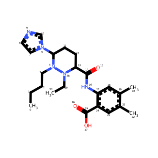 CCCCN1C(n2ccnc2)CCC(C(=O)Nc2cc(C)c(C)cc2C(=O)O)N1CC